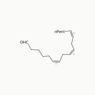 CCCCC/C=C\C/C=C\C/C=C\CCCC[C]=O